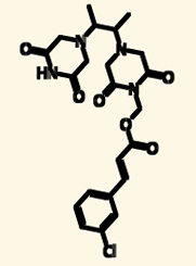 CC(C(C)N1CC(=O)N(COC(=O)C=Cc2cccc(Cl)c2)C(=O)C1)N1CC(=O)NC(=O)C1